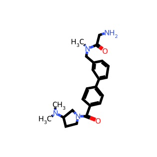 CN(Cc1cccc(-c2ccc(C(=O)N3CCC(N(C)C)C3)cc2)c1)C(=O)CN